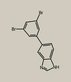 Brc1cc(Br)cc(-c2ccc3[nH]cnc3c2)c1